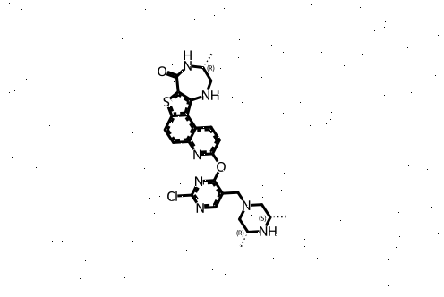 C[C@@H]1CNc2c(sc3ccc4nc(Oc5nc(Cl)ncc5CN5C[C@@H](C)N[C@@H](C)C5)ccc4c23)C(=O)N1